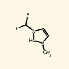 CN1C=CN(C(F)F)N1